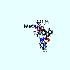 CCc1ccc2nc(NC(=O)C(CC3CCCC3)c3ccc(S(=O)(=O)N(CCOC)CCC(=O)O)c(C(F)(F)F)c3)sc2n1